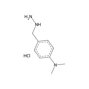 CN(C)c1ccc(CNN)cc1.Cl